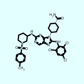 Cc1ccc(S(=O)(=O)N2CCCC(Nc3ncc4nc(Nc5c(Cl)cc(Cl)cc5Cl)n([C@H]5CC[C@@H](C(N)=O)CC5)c4n3)C2)cc1